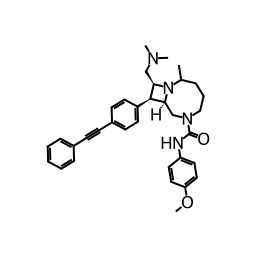 COc1ccc(NC(=O)N2CCCC(C)N3[C@H](CN(C)C)[C@H](c4ccc(C#Cc5ccccc5)cc4)[C@@H]3C2)cc1